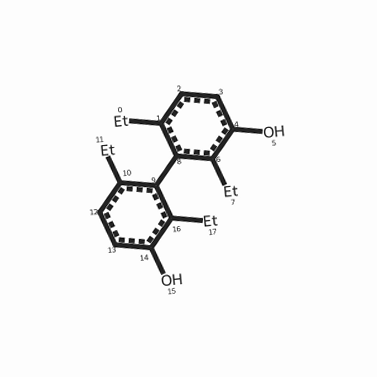 CCc1ccc(O)c(CC)c1-c1c(CC)ccc(O)c1CC